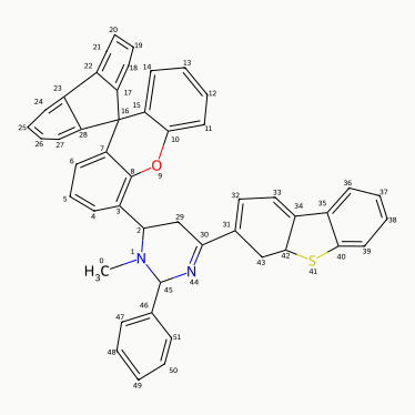 CN1C(c2cccc3c2Oc2ccccc2C32c3ccccc3-c3ccccc32)CC(C2=CC=C3c4ccccc4SC3C2)=NC1c1ccccc1